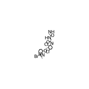 CNCC(=O)NCC(=O)N(C)c1ccc(Cl)c(COc2cccn3c(Br)c(C)nc23)c1Cl